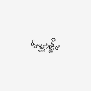 CNC(CCN(C(=O)CO)C(c1cc(-c2cc(F)ccc2F)cn1Cc1ccccc1)C(C)(C)C)C(=O)NCCNC(=O)CN1C(=O)C=CC1=O